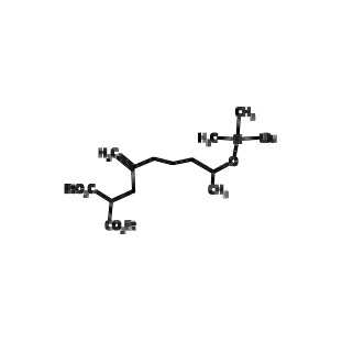 C=C(CCCC(C)O[Si](C)(C)C(C)(C)C)CC(C(=O)OCC)C(=O)OCC